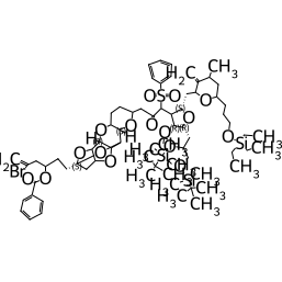 C=C(Br)CC(CC[C@@]12CC3OC4C(O1)[C@H]1OC(CC(=O)C(C5[C@H](CC6OC(CCCO[Si](CC)(CC)CC)CC(C)C6=C)O[C@H](CC(CO[Si](C)(C)C(C)(C)C)O[Si](C)(C)C(C)(C)C)[C@@H]5OC)S(=O)(=O)c5ccccc5)CCC1O[C@H]4C3O2)OC(=O)c1ccccc1